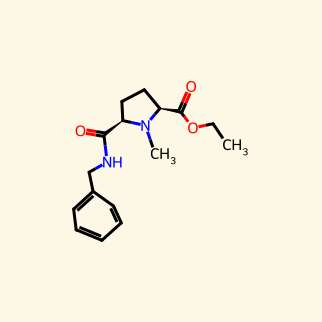 CCOC(=O)[C@@H]1CC[C@H](C(=O)NCc2ccccc2)N1C